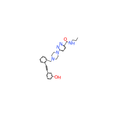 CCCNC(=O)c1ccc(N2CCN(Cc3ccccc3C#Cc3cccc(O)c3)CC2)nn1